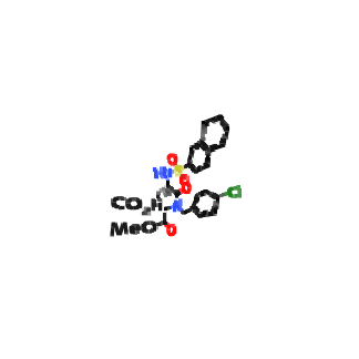 COC(=O)CN(Cc1ccc(Cl)cc1)C(=O)[C@H](CC(=O)O)NS(=O)(=O)c1ccc2ccccc2c1